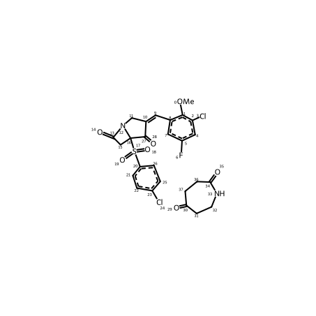 COc1c(Cl)cc(F)cc1C=C1CN2C(=O)CC2(S(=O)(=O)c2ccc(Cl)cc2)C1=O.O=C1CCNC(=O)CC1